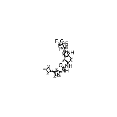 O=C(Nc1ccc2[nH]c(C(F)(F)C(F)(F)C(F)(F)F)nc2c1)Nc1ncc(C2CCC2)s1